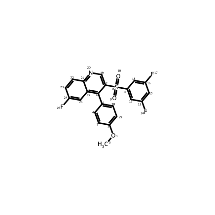 COc1ccc(-c2c(S(=O)(=O)c3cc(F)cc(F)c3)cnc3ccc(F)cc23)cc1